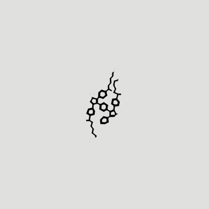 CC(CCCCCBr)c1ccc(C2=CC(=O)C(c3ccc(C(C)CCCCCBr)cc3)=C2c2ccc(C3=C(c4ccc(C(C)CCCCCBr)cc4)C(=O)C=C3c3ccccc3)cc2)cc1